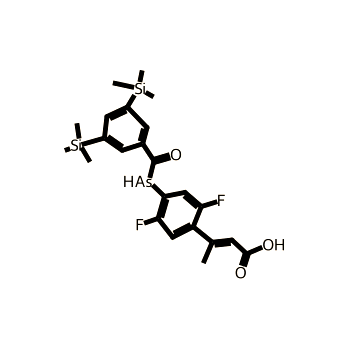 CC(=CC(=O)O)c1cc(F)c([AsH]C(=O)c2cc([Si](C)(C)C)cc([Si](C)(C)C)c2)cc1F